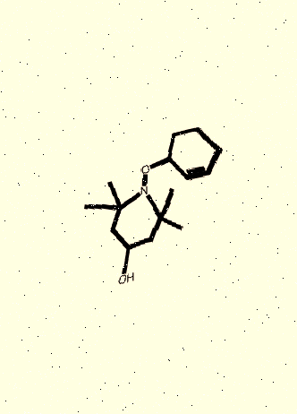 CC1(C)CC(O)CC(C)(C)N1OC1C=CCCC1